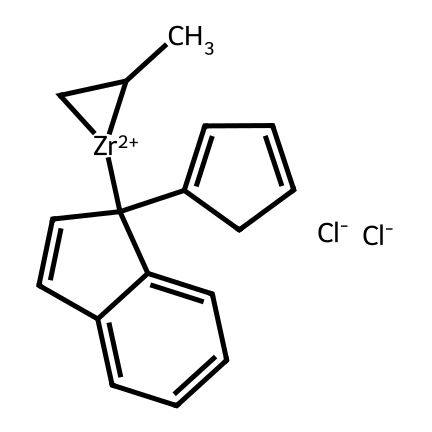 C[CH]1[CH2][Zr+2]1[C]1(C2=CC=CC2)C=Cc2ccccc21.[Cl-].[Cl-]